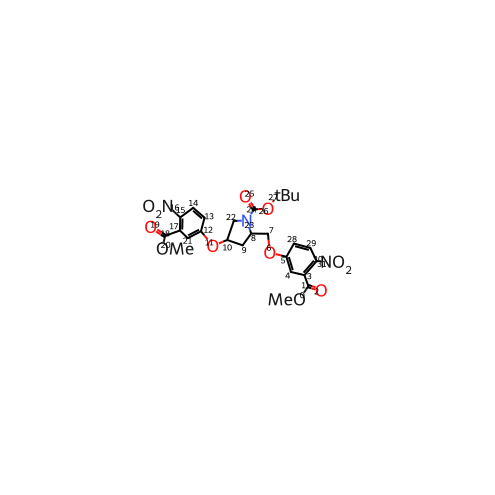 COC(=O)c1cc(OCC2CC(Oc3ccc([N+](=O)[O-])c(C(=O)OC)c3)CN2C(=O)OC(C)(C)C)ccc1[N+](=O)[O-]